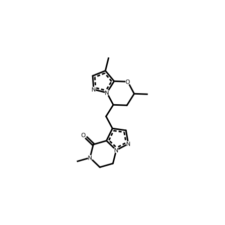 Cc1cnn2c1OC(C)CC2Cc1cnn2c1C(=O)N(C)CC2